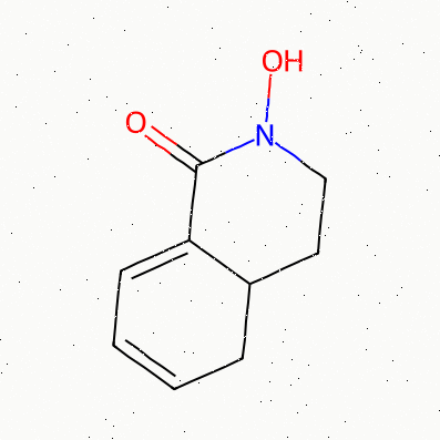 O=C1C2=CC=CCC2CCN1O